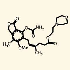 COc1c(C)c2c(c(OC(N)=O)c1CC=C(C)CCC(=O)OCCN1CCOCC1)C(=O)OC2